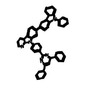 c1ccc(-c2cc(-c3ccccc3)nc(-c3ccc(-n4c5cc(-c6ccc7c(c6)c6ccccc6n7-c6ccccc6)ccc5c5cccnc54)cc3)n2)cc1